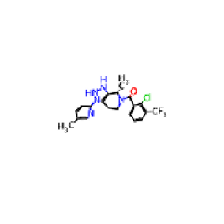 Cc1ccc(N2NNC3=C2CCN(C(=O)c2cccc(C(F)(F)F)c2Cl)[C@H]3C)nc1